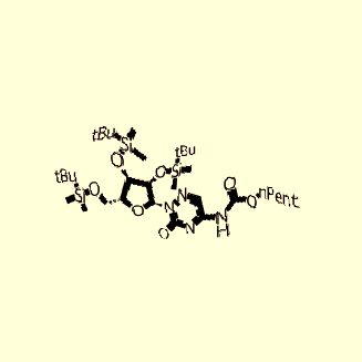 CCCCCOC(=O)Nc1cnn([C@@H]2O[C@H](CO[Si](C)(C)C(C)(C)C)[C@@H](O[Si](C)(C)C(C)(C)C)[C@H]2O[Si](C)(C)C(C)(C)C)c(=O)n1